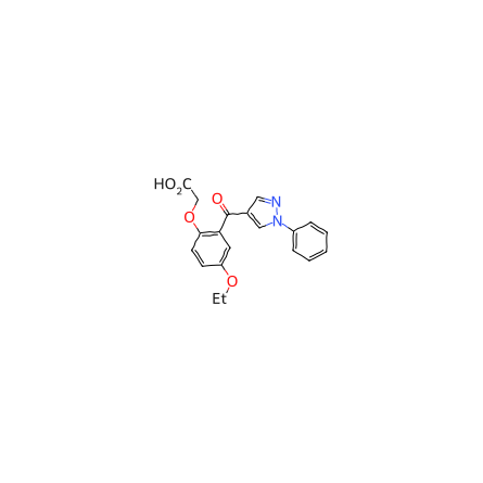 CCOc1ccc(OCC(=O)O)c(C(=O)c2cnn(-c3ccccc3)c2)c1